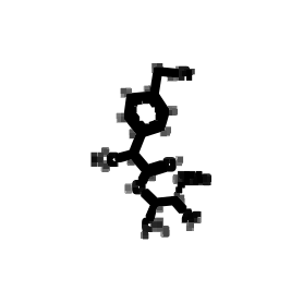 CN[C@H](C(C)=O)[C@@H](C)OC(=O)C(C)c1ccc(CC(C)C)cc1